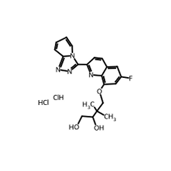 CC(C)(COc1cc(F)cc2ccc(-c3nnc4ccccn34)nc12)C(O)CO.Cl.Cl